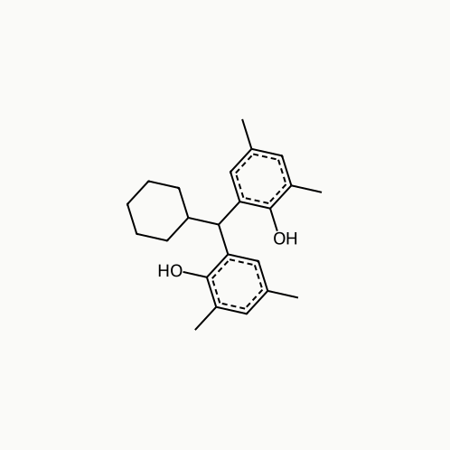 Cc1cc(C)c(O)c(C(c2cc(C)cc(C)c2O)C2CCCCC2)c1